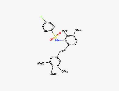 COc1cc(C=Cc2ccc(OC)c(OC)c2NS(=O)(=O)c2ccc(F)cc2)cc(OC)c1OC